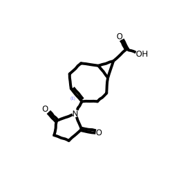 O=C(O)C1C2CC/C=C(/N3C(=O)CCC3=O)CCC21